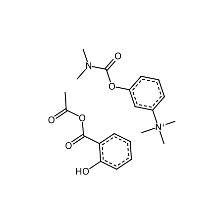 CC(=O)OC(=O)c1ccccc1O.CN(C)C(=O)Oc1cccc([N+](C)(C)C)c1